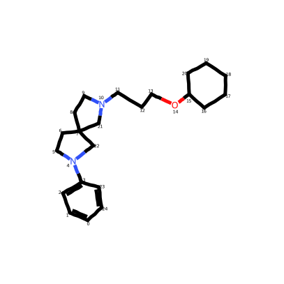 c1ccc(N2CCC3(CCN(CCCOC4CCCCC4)C3)C2)cc1